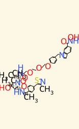 Cc1ncsc1-c1ccc([C@H](C)NC(=O)[C@@H]2C[C@@H](O)CN2C(=O)[C@@H](NC(=O)COCCOCCOc2ccc(Cn3ccc4ccc(C(=O)NO)cc43)cc2)C(C)(C)C)cc1